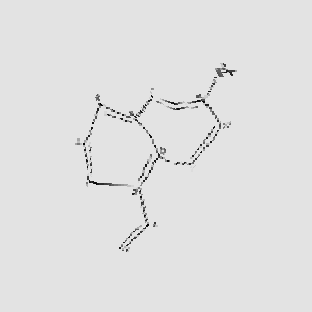 C=Cc1cccc2cc(C(C)C)ccc12